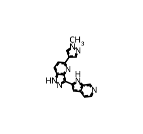 Cn1cc(-c2ccc3[nH]nc(-c4cc5ccncc5[nH]4)c3n2)cn1